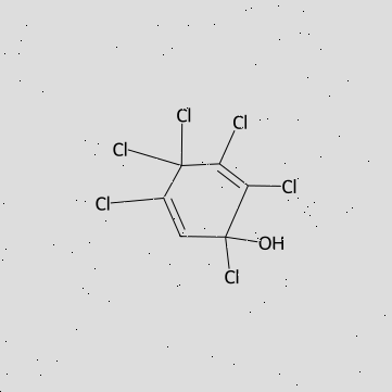 OC1(Cl)C=C(Cl)C(Cl)(Cl)C(Cl)=C1Cl